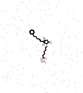 COC(=O)CCCCCC[C@H]1C(=O)C[C@H]2C(C=CCCCc3ccccc3)[C@@H]12